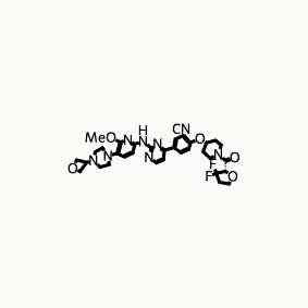 COc1nc(Nc2nccc(-c3ccc(OC4CCN(C(=O)[C@@H]5OCCC5(F)F)CC4)c(C#N)c3)n2)ccc1N1CCN(C2COC2)CC1